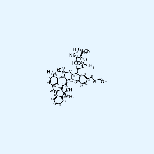 C=C(C#N)/C(OC(C)(C)C/C=C/C1=C(Oc2ccc(CCCO)cc2)C(=C/C=C2/N(CC3=CCC(C)C=C3)c3ccccc3C2(C)C)/CC(C(C)(C)C)C1)=C(\C)C#N